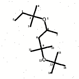 CCC(C)(C)OC(C)CC(C)(C)OC(C)(C)C